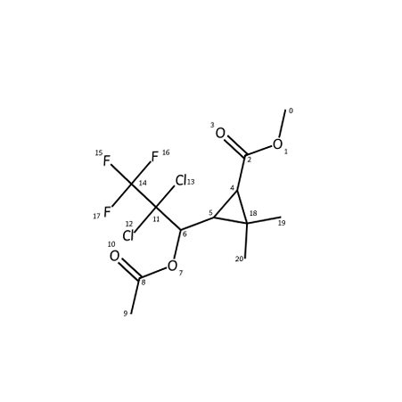 COC(=O)C1C(C(OC(C)=O)C(Cl)(Cl)C(F)(F)F)C1(C)C